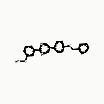 CCCOc1cccc(-c2ncc(-c3ccc(OCc4ccccc4)cc3)cn2)c1